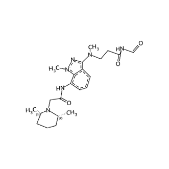 C[C@@H]1CCC[C@H](C)N1CC(=O)Nc1cccc2c(N(C)CCC(=O)NC=O)nn(C)c12